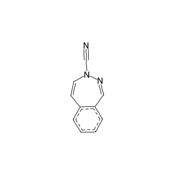 N#CN1C=Cc2ccccc2C=N1